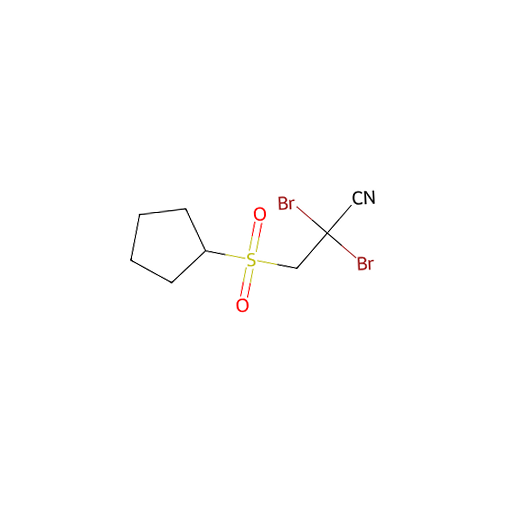 N#CC(Br)(Br)CS(=O)(=O)C1CCCC1